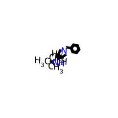 CC(C)(C)N[C@H]1[C@@H]2CN(Cc3ccccc3)C[C@@H]21